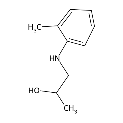 Cc1ccccc1NCC(C)O